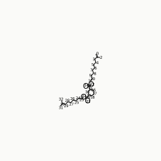 CC(C)CCCCCCCCCOC(=O)C1CCCC(C(=O)OCCCCCCCC(C)C)C1